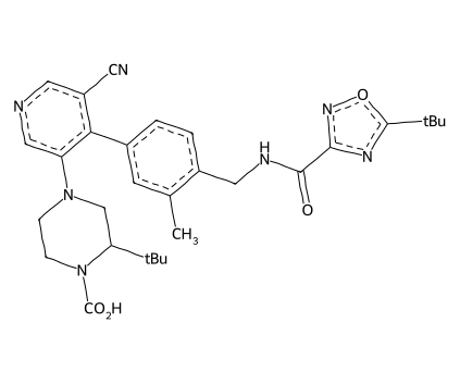 Cc1cc(-c2c(C#N)cncc2N2CCN(C(=O)O)C(C(C)(C)C)C2)ccc1CNC(=O)c1noc(C(C)(C)C)n1